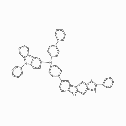 c1ccc(-c2ccc(N(c3ccc(-c4ccc5oc6cc7nc(-c8ccccc8)sc7cc6c5c4)cc3)c3ccc4c(c3)c3ccccc3n4-c3ccccc3)cc2)cc1